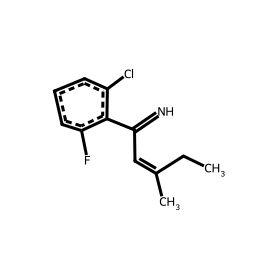 CCC(C)=CC(=N)c1c(F)cccc1Cl